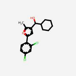 Cc1oc(-c2ccc(Cl)cc2Cl)cc1C(O)C1CCCCC1